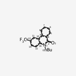 CCCCn1c(=O)c2ccccc2c2cc(C(F)(F)F)ccc21